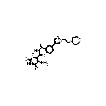 CC(NC(=O)c1[nH]c(=O)[nH]c(=O)c1N)c1cccc(-c2cnn(CCN3CCOCC3)c2)c1